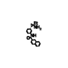 CC[C@]1(N)C[C@H]1c1cccc(NC(=O)c2ccc3ccccc3c2)c1